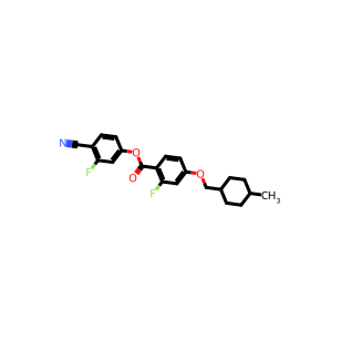 CC1CCC(COc2ccc(C(=O)Oc3ccc(C#N)c(F)c3)c(F)c2)CC1